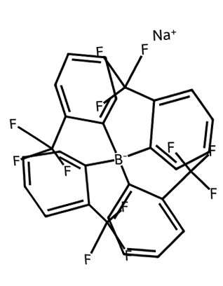 FC(F)(F)c1ccccc1[B-](c1ccccc1C(F)(F)F)(c1ccccc1C(F)(F)F)c1ccccc1C(F)(F)F.[Na+]